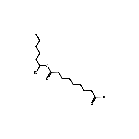 CCCCCC(O)OC(=O)CCCCCCCC(=O)O